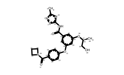 Cc1nsc(NC(=O)c2cc(Oc3ccc(C(=O)N4CCC4)cc3)cc(O[C@@H](C)CO)c2)n1